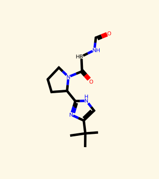 CC(C)(C)c1c[nH]c(C2CCCN2C(=O)BNC=O)n1